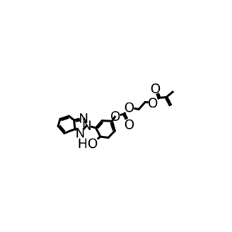 C=C(C)C(=O)OCCOC(=O)OC1=CCC(O)C(n2nc3ccccc3n2)=C1